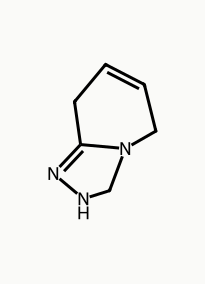 C1=CCN2CNN=C2C1